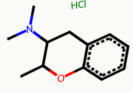 CC1Oc2ccccc2CC1N(C)C.Cl